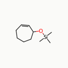 C[Si](C)(C)OC1C=CCCCC1